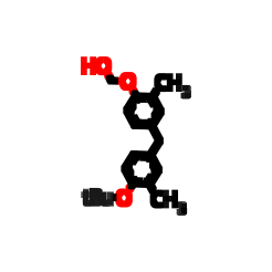 Cc1cc(Cc2ccc(OC(C)(C)C)c(C)c2)ccc1OCO